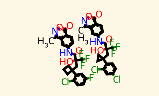 Cc1noc(=O)c2ccc(NC(=O)C(O)(CC3(c4cc(F)ccc4Cl)CCC3)C(F)(F)F)cc12.Cc1noc(=O)c2ccc(NC(=O)C(O)(CC3(c4ccc(Cl)cc4Cl)CC3)C(F)(F)F)cc12